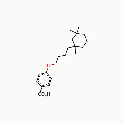 CC1(C)CCCC(C)(CCCCOc2ccc(C(=O)O)cc2)C1